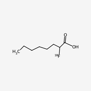 CCCCCCC([18F])C(=O)O